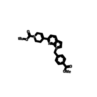 COC(=O)c1ccc(Cn2ccc3ccc(C4=CCN(C(=O)OC(C)(C)C)CC4)nc32)cc1